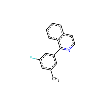 Cc1cc(F)cc(-c2nccc3ccccc23)c1